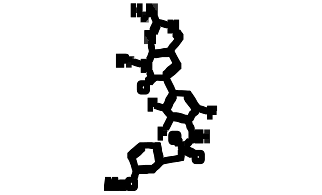 COc1cccc(CS(=O)(=O)Nc2c(F)cc(-c3cc4cnc(N)nc4n(C(C)C)c3=O)c(F)c2F)c1